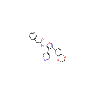 O=C(Cc1ccccc1)Nc1onc(-c2ccc3c(c2)OCCO3)c1-c1ccncc1